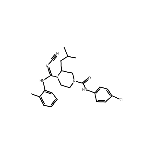 Cc1ccccc1N/C(=N/C#N)N1CCN(C(=O)Nc2ccc(Cl)cc2)CC1CC(C)C